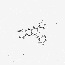 COc1cc2nc(N3CCCC3)nc(NC3CCCOC3)c2cc1OC